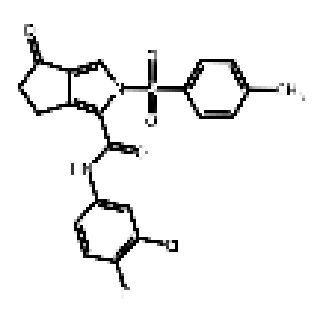 Cc1ccc(S(=O)(=O)n2cc3c(c2C(=O)Nc2ccc(F)c(Cl)c2)CCC3=O)cc1